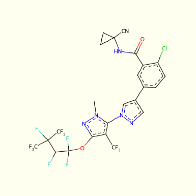 Cn1nc(OC(F)(F)C(F)C(F)(C(F)(F)F)C(F)(F)F)c(C(F)(F)F)c1-n1cc(-c2ccc(Cl)c(C(=O)NC3(C#N)CC3)c2)cn1